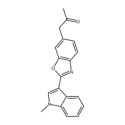 CC(=O)Cc1ccc2nc(-c3cn(C)c4ccccc34)oc2c1